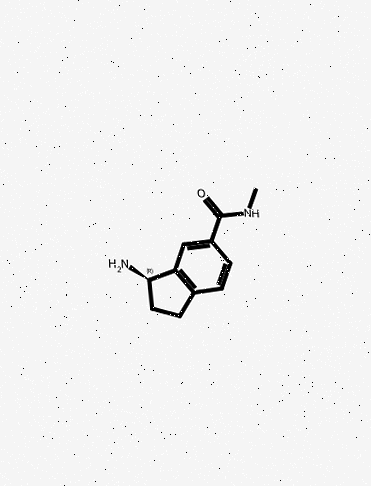 CNC(=O)c1ccc2c(c1)[C@H](N)CC2